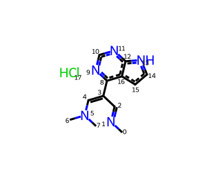 C/N=C/C(=C\N(C)C)c1ncnc2[nH]ccc12.Cl